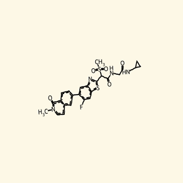 Cn1ccc2cc(-c3cc4nc(C(C(=O)NCC(=O)NC5CC5)S(C)(=O)=O)sc4cc3F)ccc2c1=O